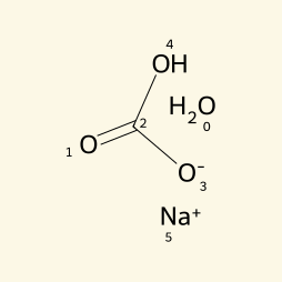 O.O=C([O-])O.[Na+]